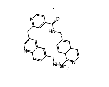 NCc1ccc2ncc(Cc3cc(C(=O)NCC4=CC5C=CN=C(N)C5C=C4)ccn3)cc2c1